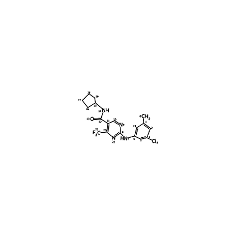 Cc1cc(Cl)cc(Nc2ncc(C(=O)NC3CCCC3)c(C(F)(F)F)n2)c1